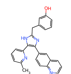 Cc1cccc(-c2[nH]c(Cc3cccc(O)c3)nc2-c2ccc3ncccc3c2)n1